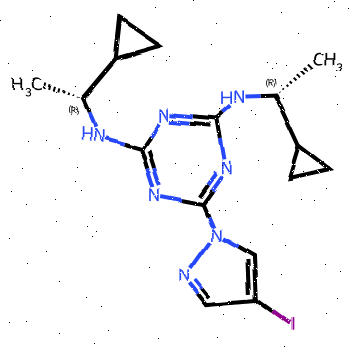 C[C@@H](Nc1nc(N[C@H](C)C2CC2)nc(-n2cc(I)cn2)n1)C1CC1